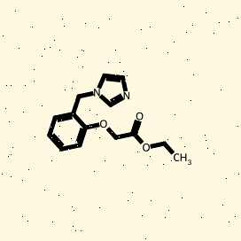 CCOC(=O)COc1ccccc1Cn1ccnc1